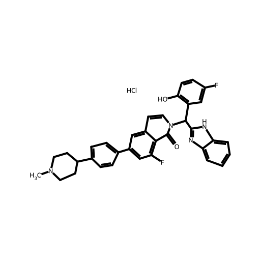 CN1CCC(c2ccc(-c3cc(F)c4c(=O)n(C(c5nc6ccccc6[nH]5)c5cc(F)ccc5O)ccc4c3)cc2)CC1.Cl